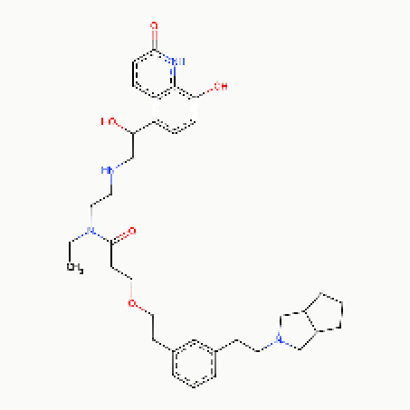 CCN(CCNCC(O)c1ccc(O)c2[nH]c(=O)ccc12)C(=O)CCOCCc1cccc(CCN2CC3CCCC3C2)c1